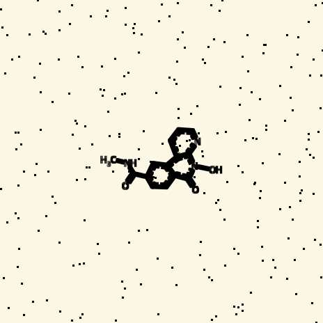 CNC(=O)c1ccc2c(=O)n(O)c3ncccc3c2c1